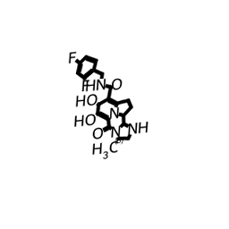 C[C@H]1CNC2C3CCC4=C(C(=O)NCc5ccc(F)cc5F)C(O)C(O)=C(C(=O)N21)N43